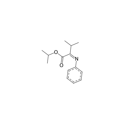 CC(C)OC(=O)/C(=N\c1ccccc1)C(C)C